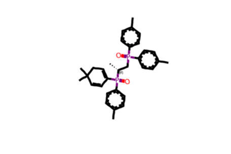 Cc1ccc(P(=O)(C[C@@H](C)P(=O)(C2=CCC(C)(C)C=C2)c2ccc(C)cc2)c2ccc(C)cc2)cc1